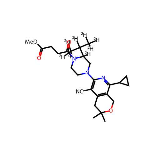 [2H]C([2H])([2H])C([2H])(C([2H])([2H])[2H])C1([2H])CN(c2nc(C3CC3)c3c(c2C#N)CC(C)(C)OC3)CCN1C(=O)CCC(=O)OC